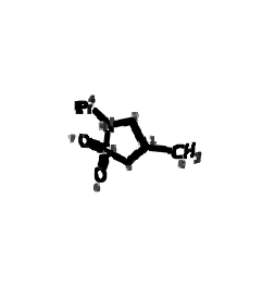 CC1CN(C(C)C)S(=O)(=O)C1